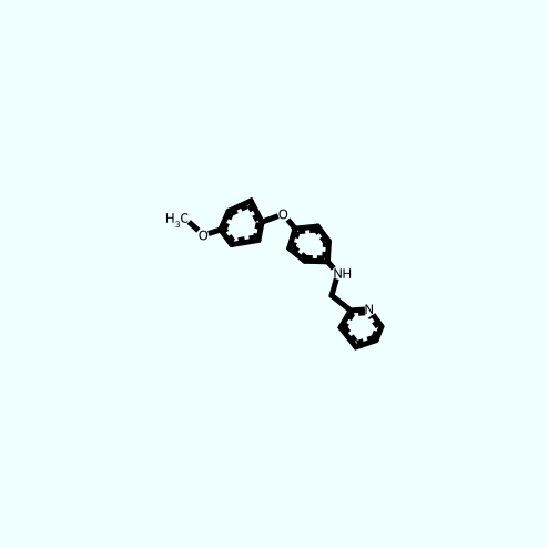 COc1ccc(Oc2ccc(NCc3ccccn3)cc2)cc1